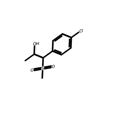 CC(O)C(c1ccc(Cl)cc1)S(C)(=O)=O